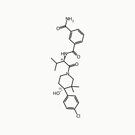 CC(C)[C@@H](NC(=O)c1cccc(C(N)=O)c1)C(=O)N1CC[C@](O)(c2ccc(Cl)cc2)C(C)(C)C1